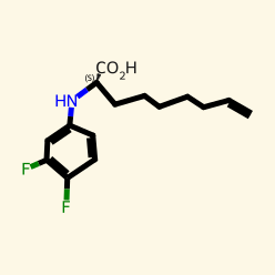 C=CCCCCC[C@H](Nc1ccc(F)c(F)c1)C(=O)O